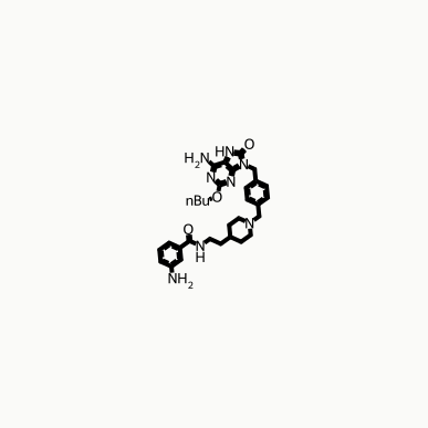 CCCCOc1nc(N)c2[nH]c(=O)n(Cc3ccc(CN4CCC(CCNC(=O)c5cccc(N)c5)CC4)cc3)c2n1